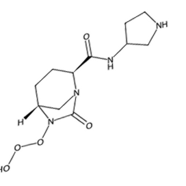 O=C(NC1CCNC1)[C@@H]1CC[C@@H]2CN1C(=O)N2OOO